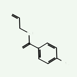 O=CCNC(=O)c1ccc([125I])cc1